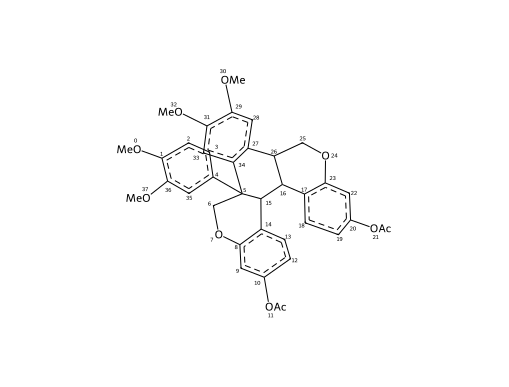 COc1ccc(C23COc4cc(OC(C)=O)ccc4C2C2c4ccc(OC(C)=O)cc4OCC2c2cc(OC)c(OC)cc23)cc1OC